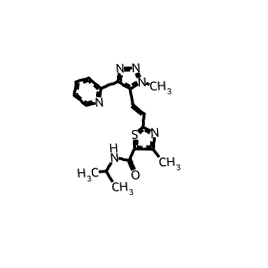 Cc1nc(C=Cc2c(-c3ccccn3)nnn2C)sc1C(=O)NC(C)C